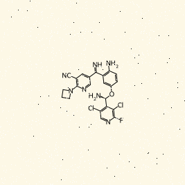 N#Cc1cc(C(=N)c2cc(O[C@H](N)c3c(Cl)cnc(F)c3Cl)ccc2N)cnc1N1CCC1